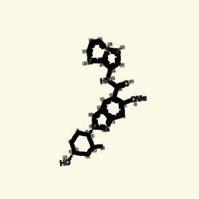 COc1cc2nn([C@H]3CC[C@@H](O)CC3C)cc2cc1C(=O)Nc1cnn2cccnc12